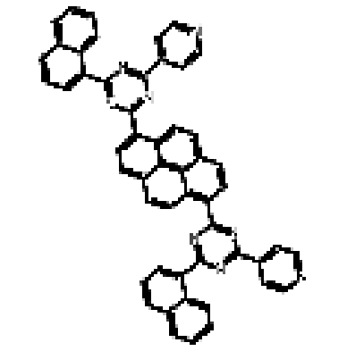 c1ccc2c(-c3nc(-c4ccncc4)nc(-c4ccc5ccc6c(-c7nc(-c8ccncc8)nc(-c8cccc9ccccc89)n7)ccc7ccc4c5c76)n3)cccc2c1